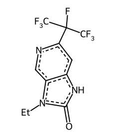 CCn1c(=O)[nH]c2cc(C(F)(C(F)(F)F)C(F)(F)F)ncc21